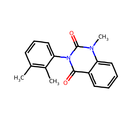 Cc1cccc(-n2c(=O)c3ccccc3n(C)c2=O)c1C